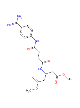 COC(=O)CC(CC(=O)OC)NC(=O)CCC(=O)Nc1ccc(C(=N)N)cc1